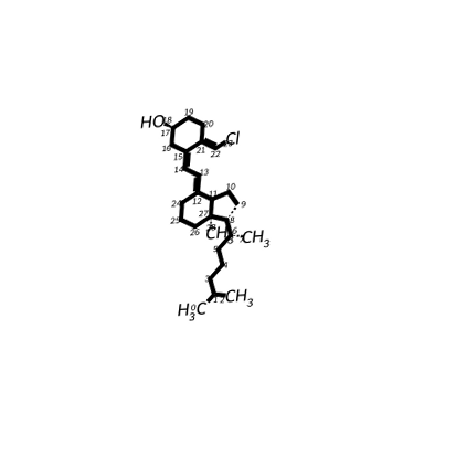 CC(C)CCC[C@@H](C)[C@H]1CCC2C(=C/C=C3/C[C@@H](O)CC/C3=C\Cl)CCC[C@@]21C